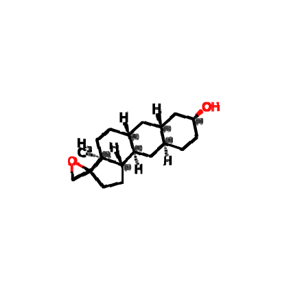 C[C@]12CC[C@@H]3C[C@@H]4C[C@@H](O)CC[C@H]4C[C@H]3[C@@H]1CCC21CO1